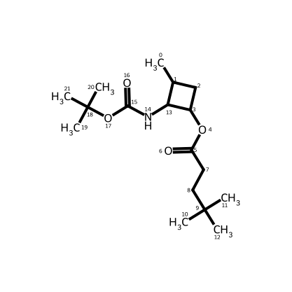 CC1CC(OC(=O)CCC(C)(C)C)C1NC(=O)OC(C)(C)C